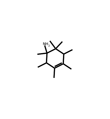 CC1=C(C)C(C)C(C)(N)C(C)(C)C1C